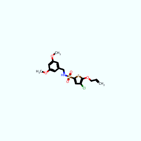 C=CCOc1sc(S(=O)(=O)NCc2cc(OC)cc(OC)c2)cc1Cl